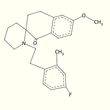 COc1ccc2c(c1)CCC1(CCCCN1CCc1ccc(F)cc1C)C2=O